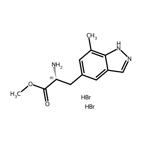 Br.Br.COC(=O)[C@H](N)Cc1cc(C)c2[nH]ncc2c1